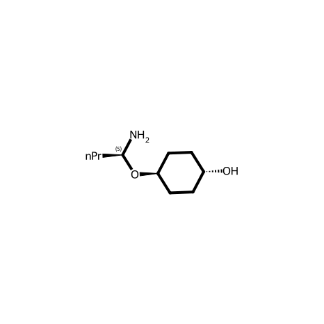 CCC[C@@H](N)O[C@H]1CC[C@H](O)CC1